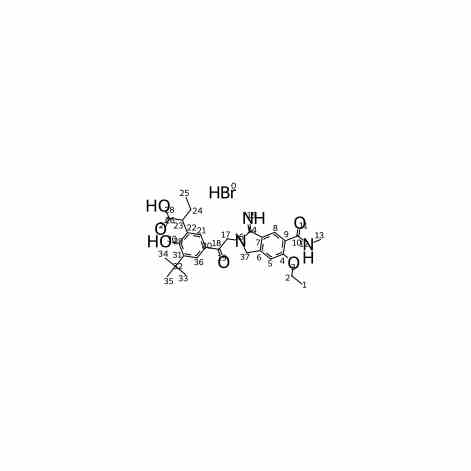 Br.CCOc1cc2c(cc1C(=O)NC)C(=N)N(CC(=O)c1cc(C(CC)C(=O)O)c(O)c(C(C)(C)C)c1)C2